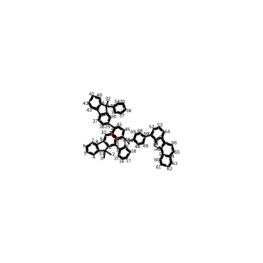 CC1(C)c2ccccc2-c2cccc(-c3ccccc3N(c3ccc(-c4ccc5c(c4)C(C)(c4ccccc4)c4ccccc4-5)cc3)c3ccc(-c4cccc5c4sc4c6ccccc6ccc54)cc3)c21